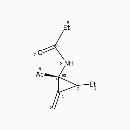 C=C1C(CC)[C@]1(NC(=O)CC)C(C)=O